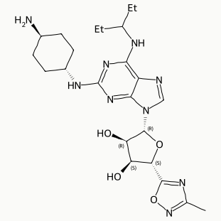 CCC(CC)Nc1nc(N[C@H]2CC[C@H](N)CC2)nc2c1ncn2[C@@H]1O[C@H](c2nc(C)no2)[C@@H](O)[C@H]1O